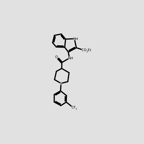 CCOC(=O)c1[nH]c2ccccc2c1NC(=O)C1CCN(c2cccc(C(F)(F)F)c2)CC1